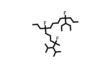 CCCC(F)(CCCCC(F)(CCC)C(CC)CC)CCCC(C)(F)C(C(C)C)C(C)C